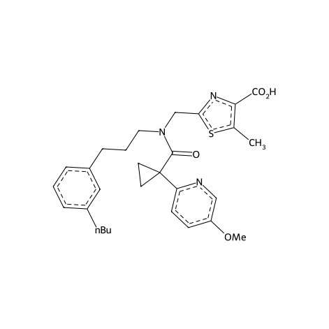 CCCCc1cccc(CCCN(Cc2nc(C(=O)O)c(C)s2)C(=O)C2(c3ccc(OC)cn3)CC2)c1